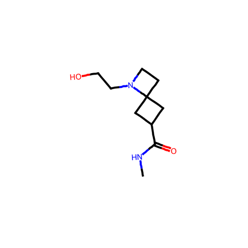 CNC(=O)C1CC2(CCN2CCO)C1